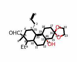 C=CC[C@H]1C[C@](C)(C=O)C(CC)C2CC[C@@]3(O)CC4(CCC3=C21)OCCO4